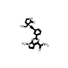 Cn1ccc2c(C(N)=O)nc(-c3cccc(C#C[C@@]4(CO)CCNC4=O)c3)nc21